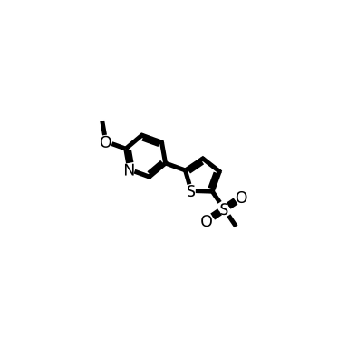 COc1ccc(-c2ccc(S(C)(=O)=O)s2)cn1